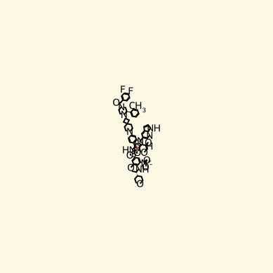 Cc1ccccc1[C@@H]1CN(C(=O)c2ccc(F)c(F)c2)CCN1C1CC2(CCN(c3ccc(C(=O)NS(=O)(=O)c4cc5c(c([N+](=O)[O-])c4)N[C@H](C4CCOCC4)CO5)c(N4c5cc6cc[nH]c6nc5O[C@H]5COCC[C@@H]54)c3)CC2)C1